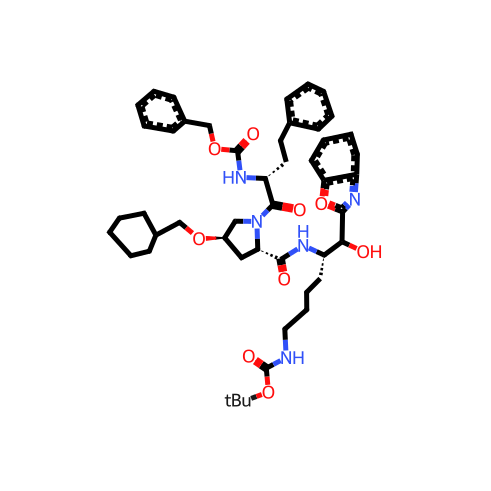 CC(C)(C)OC(=O)NCCCC[C@H](NC(=O)[C@@H]1C[C@@H](OCC2CCCCC2)CN1C(=O)[C@@H](CCc1ccccc1)NC(=O)OCc1ccccc1)C(O)c1nc2ccccc2o1